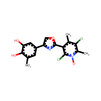 Cc1c(Cl)c(C)[n+]([O-])c(Cl)c1-c1nc(-c2cc(O)c(O)c([N+](=O)[O-])c2)co1